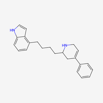 C1=C(c2ccccc2)CC(CCCCc2cccc3[nH]ccc23)NC1